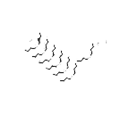 CCC[CH2][Sn+2][CH2]CCC.CCC[CH2][Sn+2][CH2]CCC.CCC[CH2][Sn+2][CH2]CCC.CCC[CH2][Sn+2][CH2]CCC.CCC[CH2][Sn+2][CH2]CCC.CCC[CH2][Sn+2][CH2]CCC.CCC[CH2][Sn+2][CH2]CCC.[SnH2+2].[SnH2+2].[SnH2+2]